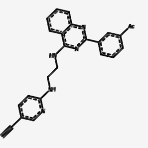 C#Cc1ccc(NCCNc2nc(-c3cccc(C(C)=O)c3)nc3ccccc23)nc1